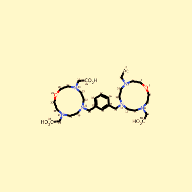 CC(=O)CN1CCOCCN(CC(=O)O)CCN(Cc2cccc(CN3CCN(CC(=O)O)CCOCCN(CC(=O)O)CC3)c2)CC1